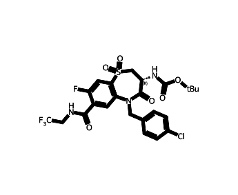 CC(C)(C)OC(=O)N[C@H]1CS(=O)(=O)c2cc(F)c(C(=O)NCC(F)(F)F)cc2N(Cc2ccc(Cl)cc2)C1=O